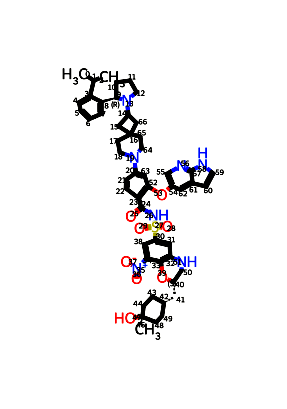 CC(C)c1ccccc1[C@H]1CCCN1C1CC2(CCN(c3ccc(C(=O)NS(=O)(=O)c4cc5c(c([N+](=O)[O-])c4)O[C@@H](C[C@H]4CC[C@](C)(O)CC4)CN5)c(Oc4cnc5[nH]ccc5c4)c3)CC2)C1